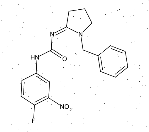 O=C(/N=C1/CCCN1Cc1ccccc1)Nc1ccc(F)c([N+](=O)[O-])c1